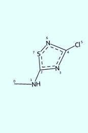 CNc1nc(Cl)ns1